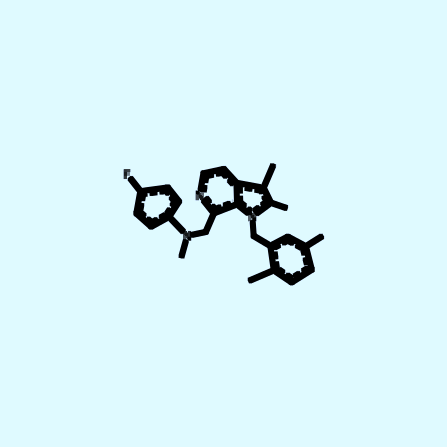 Cc1ccc(C)c(Cn2c(C)c(C)c3ccnc(CN(C)c4ccc(F)cc4)c32)c1